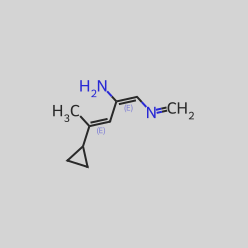 C=N/C=C(N)\C=C(/C)C1CC1